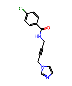 O=C(NCC#CCn1ccnc1)c1ccc(Cl)cc1